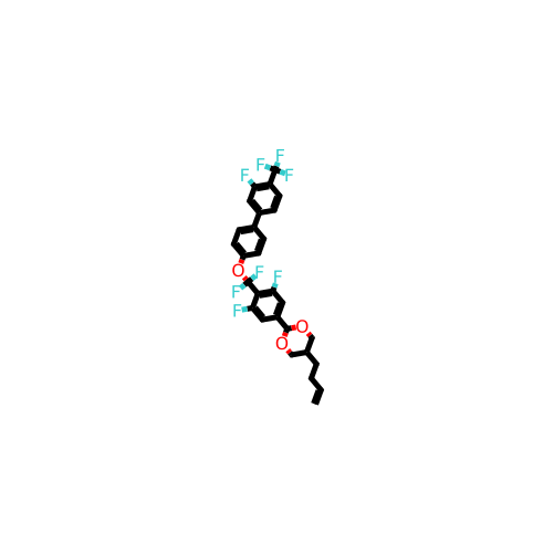 C=CCCC1COC(c2cc(F)c(C(F)(F)Oc3ccc(-c4ccc(C(F)(F)F)c(F)c4)cc3)c(F)c2)OC1